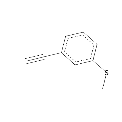 C#Cc1cccc(SC)c1